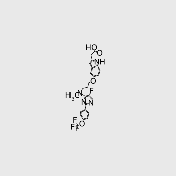 CN(CCCOc1ccc2[nH]c(CC(=O)O)cc2c1)c1nc(-c2ccc(OC(F)(F)F)cc2)ncc1F